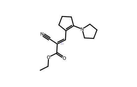 CCOC(=O)/C(C#N)=C/C1=C(N2CCCC2)CCC1